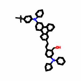 C[Si](C)(C)c1ccc(N(c2ccccc2)c2ccc3c4ccc(/C=C/c5ccc(N(c6ccccc6)c6ccccc6)cc5CO)cc4c4ccccc4c3c2)cc1